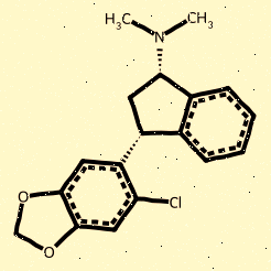 CN(C)[C@H]1C[C@@H](c2cc3c(cc2Cl)OCO3)c2ccccc21